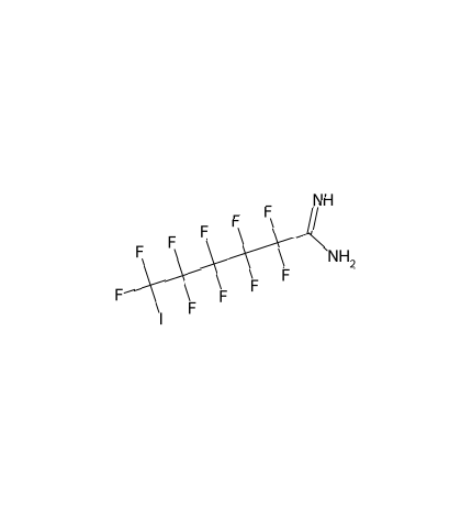 N=C(N)C(F)(F)C(F)(F)C(F)(F)C(F)(F)C(F)(F)I